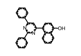 Oc1ccc(-c2cc(-c3ccccc3)nc(-c3ccccc3)n2)c2ccccc12